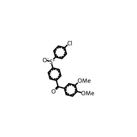 COc1ccc(C(=O)c2ccc([S+]([O-])c3ccc(Cl)cc3)cc2)cc1OC